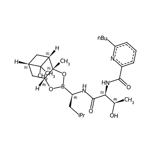 CCCCc1cccc(C(=O)N[C@H](C(=O)N[C@@H](CC(C)C)B2O[C@@H]3C[C@@H]4C[C@@H](C4(C)C)[C@]3(C)O2)[C@@H](C)O)n1